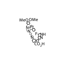 COc1ccc(CN2CCN(C3CC4(C3)CN(c3ccc(C(=O)O)c(Oc5cnc6[nH]cc(F)c6c5)c3)C4)C(c3ccccc3C(C)C)C2)cc1OC